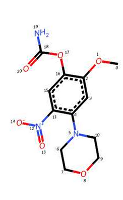 COc1cc(N2CCOCC2)c([N+](=O)[O-])cc1OC(N)=O